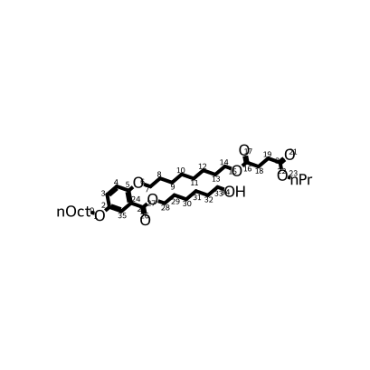 CCCCCCCCOc1ccc(OCCCCCCCCOC(=O)CCC(=O)OCCC)c(C(=O)OCCCCCCO)c1